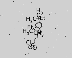 CCC(C)(C)c1ccc(OCCCCS(=O)(=O)Cl)c(C(C)(C)CC)c1